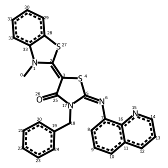 CN1C(=C2SC(=Nc3cccc4cccnc34)N(Cc3ccccc3)C2=O)Sc2ccccc21